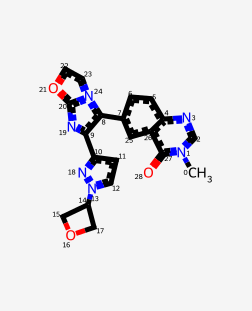 Cn1cnc2ccc(-c3c(-c4ccn(C5COC5)n4)nc4occn34)cc2c1=O